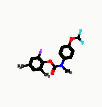 CN(C(=O)Oc1c(I)cc(C(F)(F)F)cc1C(F)(F)F)c1ccc(OC(F)F)cc1